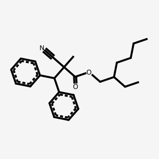 CCCCC(CC)COC(=O)C(C)(C#N)C(c1ccccc1)c1ccccc1